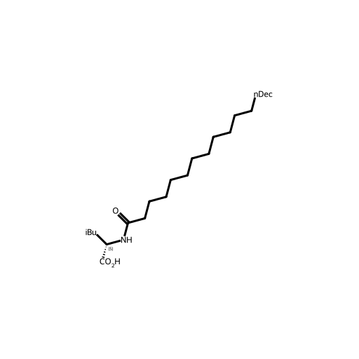 CCCCCCCCCCCCCCCCCCCCCC(=O)N[C@H](C(=O)O)C(C)CC